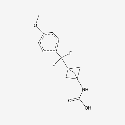 COc1ccc(C(F)(F)C23CC(NC(=O)O)(C2)C3)cc1